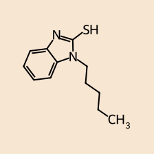 CCCCCn1c(S)nc2ccccc21